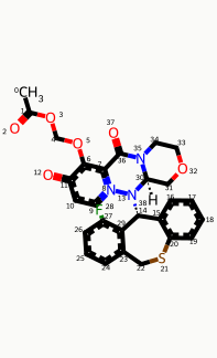 CC(=O)OCOc1c2n(ccc1=O)N([C@@H]1c3ccccc3SCc3cccc(F)c31)[C@@H]1COCCN1C2=O